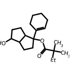 CCC(C)(C)C(=O)OC1(C2=CCCCC2)CCC2C(O)CCC21